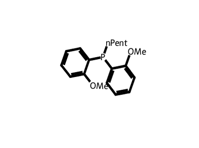 CCCCCP(c1ccccc1OC)c1ccccc1OC